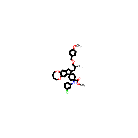 COC(=O)C1(Nc2cccc(Cl)c2)CCC2(CC1)c1cc3c(cc1CC2C[C@@H](C)COCc1ccc(OC)cc1)OCCCCO3